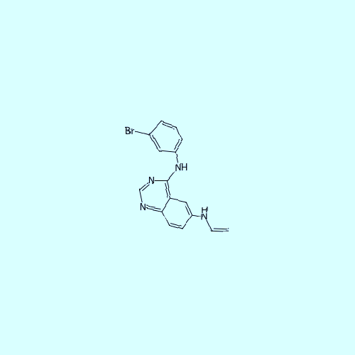 C=CNc1ccc2ncnc(Nc3cccc(Br)c3)c2c1